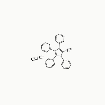 [Cl-].[Cl-].[Cl-].[Ti+3][C]1=C(c2ccccc2)C(c2ccccc2)=C(c2ccccc2)C1c1ccccc1